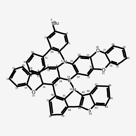 CC(C)(C)c1ccc(N2C3=CC4c5ccccc5OC4C4=C3B(c3cc5c(cc32)Oc2ccccc2O5)n2c3c4cccc3c3sc4ccccc4c32)c(-c2ccccc2)c1